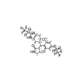 O=C1NCCC1C(c1c(Cl)cc(OS(=O)(=O)C(F)(F)F)cc1Cl)C1CCc2nc(S(=O)(=O)C(F)(F)F)[nH]c2C1